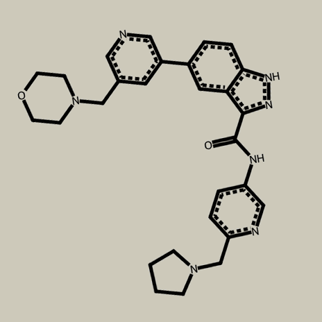 O=C(Nc1ccc(CN2CCCC2)nc1)c1n[nH]c2ccc(-c3cncc(CN4CCOCC4)c3)cc12